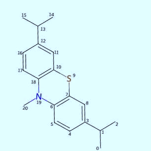 CC(C)c1ccc2c(c1)Sc1cc(C(C)C)ccc1N2C